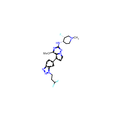 COc1nc(N[C@H]2CCN(C)C[C@H]2F)nn2ccc(-c3ccc4nnn(CCC(F)F)c4c3)c12